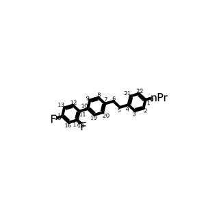 CCCc1ccc(CCc2ccc(-c3ccc(F)cc3F)cc2)cc1